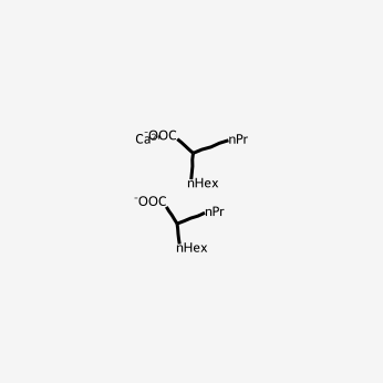 CCCCCCC(CCC)C(=O)[O-].CCCCCCC(CCC)C(=O)[O-].[Ca+2]